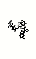 Cc1cccc(C(F)(F)C(=O)/C=C/[C@H]2CCOC(=O)N2CCCc2ccc(C(=O)OC(C)C)s2)c1